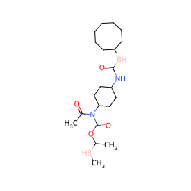 CBC(C)OC(=O)N(C(C)=O)C1CCC(NC(=O)BC2CCCCCCC2)CC1